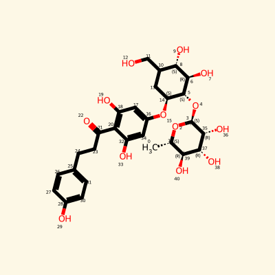 C[C@@H]1O[C@@H](O[C@H]2[C@H](O)[C@@H](O)C(CO)C[C@@H]2Oc2cc(O)c(C(=O)CCc3ccc(O)cc3)c(O)c2)[C@H](O)[C@H](O)[C@H]1O